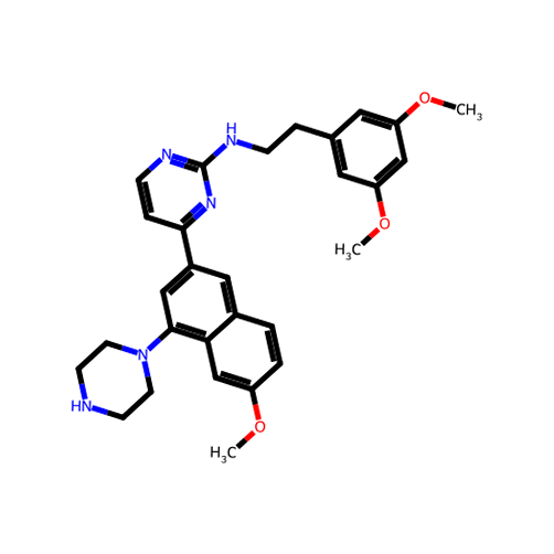 COc1cc(CCNc2nccc(-c3cc(N4CCNCC4)c4cc(OC)ccc4c3)n2)cc(OC)c1